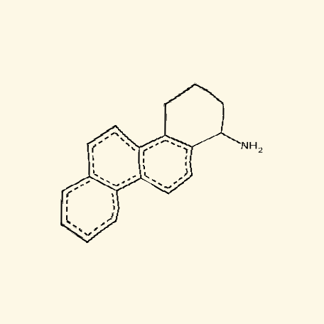 NC1CCCc2c1ccc1c2ccc2ccccc21